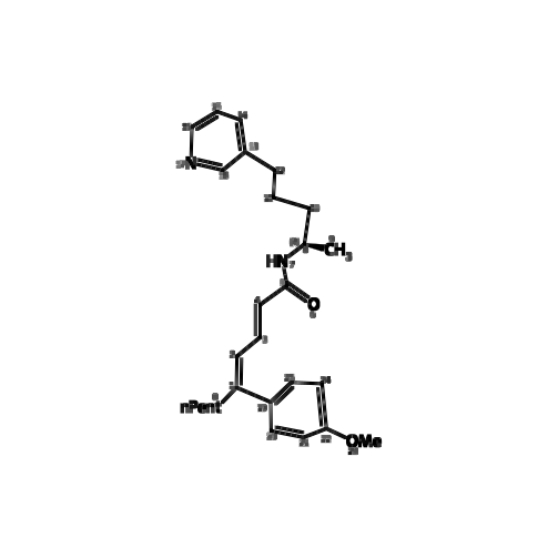 CCCCCC(=CC=CC(=O)N[C@H](C)CCCc1cccnc1)c1ccc(OC)cc1